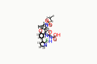 CC(C)CS(=O)(=O)N1CC[C@@H]2Oc3ccc(-c4cccnc4F)cc3C3(COC(NC(=O)O)=N3)[C@H]2C1